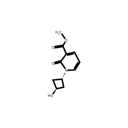 COC(=O)c1cccn([C@H]2C[C@H](O)C2)c1=O